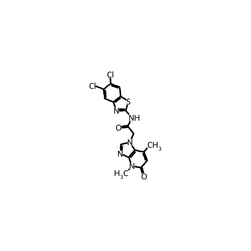 Cc1cc(=O)n(C)c2ncn(CC(=O)Nc3nc4cc(Cl)c(Cl)cc4s3)c12